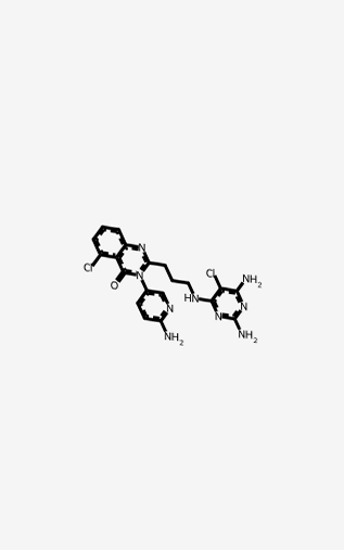 Nc1ccc(-n2c(CCCNc3nc(N)nc(N)c3Cl)nc3cccc(Cl)c3c2=O)cn1